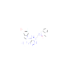 C=CC(=O)N(CCn1nc(-n2ccc3cc(O)c(F)cc32)c2c(N)ncnc21)Cc1ccccc1